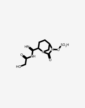 N=C(NC(=O)CO)C1CCC2CN1C(=O)N2OS(=O)(=O)O